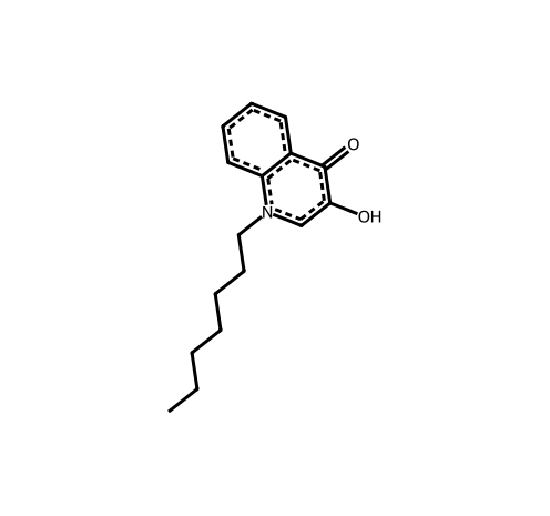 CCCCCCCn1cc(O)c(=O)c2ccccc21